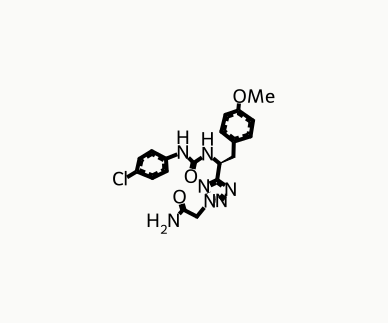 COc1ccc(C[C@H](NC(=O)Nc2ccc(Cl)cc2)c2nnn(CC(N)=O)n2)cc1